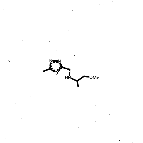 COCC(C)NCc1nnc(C)o1